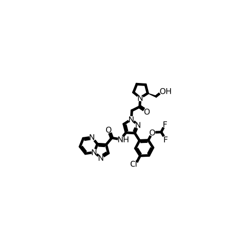 O=C(Nc1cn(CC(=O)N2CCC[C@H]2CO)nc1-c1cc(Cl)ccc1OC(F)F)c1cnn2cccnc12